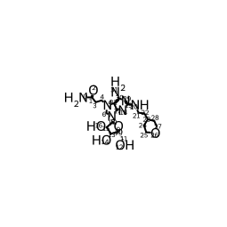 NC(=O)CCN1CN([C@@H]2O[C@H](CO)C(O)C2O)c2nc(NCCC3CCOCC3)nc(N)c21